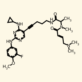 COc1ccc(Nc2ncc(C#CCCCNC(=O)C(C)N(C)C(=O)/C=C/CN(C)C)c(NC3CC3)n2)cc1F